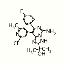 Cc1cc(C2=C(c3ccc(F)cc3)N=C(N)N3NC(C(C)(C)O)N=C23)cc(Cl)n1